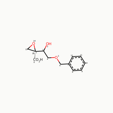 O=C(O)[C@]1(C(O)COCc2ccccc2)CO1